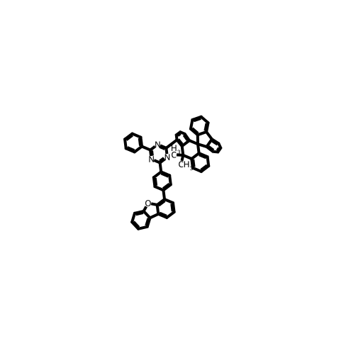 CC1(C)c2ccccc2C2(c3ccccc3-c3ccccc32)c2cccc(-c3nc(-c4ccccc4)nc(-c4ccc(-c5cccc6c5oc5ccccc56)cc4)n3)c21